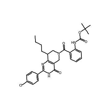 CCCCC1CN(C(=O)c2ccccc2NC(=O)OC(C)(C)C)Cc2c1nc(-c1ccc(Cl)cc1)[nH]c2=O